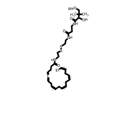 CC/C=C\C/C=C\C/C=C\C/C=C\CC=C=CCCC(=O)NCCSSCCNC(=O)CCNC(=O)C(O)C(C)(C)COC